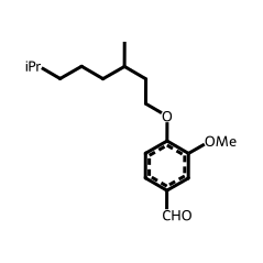 COc1cc(C=O)ccc1OCCC(C)CCCC(C)C